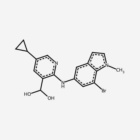 Cn1ccc2cc(Nc3ncc(C4CC4)cc3C(O)O)cc(Br)c21